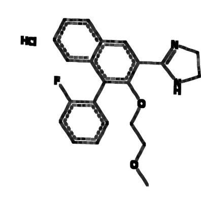 COCCOc1c(C2=NCCN2)cc2ccccc2c1-c1ccccc1F.Cl